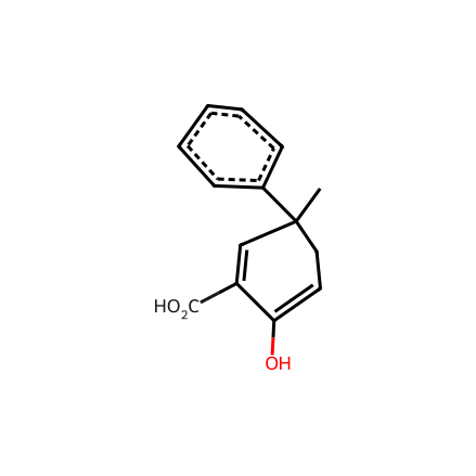 CC1(c2ccccc2)C=C(C(=O)O)C(O)=CC1